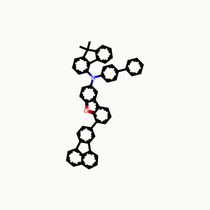 CC1(C)c2ccccc2-c2c(N(c3ccc(-c4ccccc4)cc3)c3ccc4oc5c(-c6ccc7c(c6)-c6cccc8cccc-7c68)cccc5c4c3)cccc21